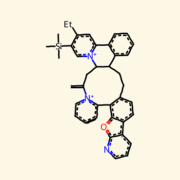 C=C1CC2C(CCc3ccc4c(oc5ncccc54)c3-c3c4c(cc[n+]31)CCCC4)c1ccccc1-c1cc(CC)c([Si](C)(C)C)c[n+]12